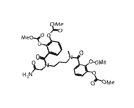 COOc1c(OC(=O)OC)cccc1C(=O)N(C)CCCN(CC(N)=O)C(=O)c1cccc(OC(=O)OC)c1OC(=O)OC